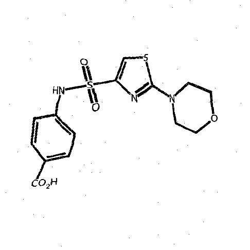 O=C(O)c1ccc(NS(=O)(=O)c2csc(N3CCOCC3)n2)cc1